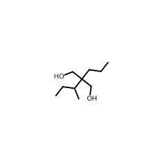 CCCC(CO)(CO)C(C)CC